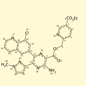 CCOC(=O)c1ccc(COC(=O)c2nc(-c3cc(Cl)c4ncccc4c3)c(-c3ccn(C)n3)nc2N)nc1